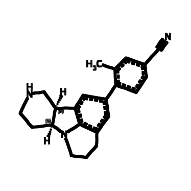 Cc1cc(C#N)ccc1-c1cc2c3c(c1)[C@@H]1CNCC[C@@H]1N3CCC2